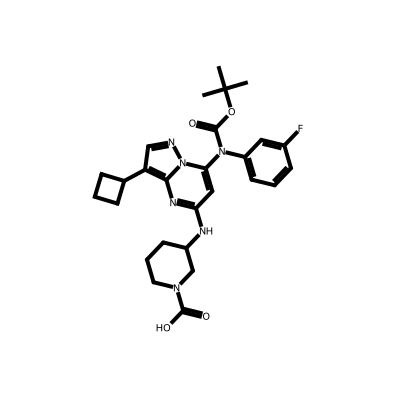 CC(C)(C)OC(=O)N(c1cccc(F)c1)c1cc(NC2CCCN(C(=O)O)C2)nc2c(C3CCC3)cnn12